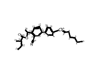 CCCCCCOc1ccc(-c2ccc(C(C)OC(=O)C(C)CC)c(C#N)c2)cc1